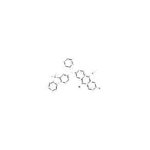 CC(C)(C)c1c2ccc(N(c3ccccc3)c3ccc4c(c3)C(C)(C)c3ccccc3-4)cc2c(C(C)(C)C)c2ccc(Br)cc12